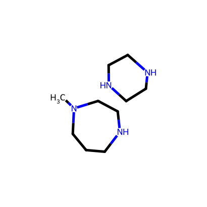 C1CNCCN1.CN1CCCNCC1